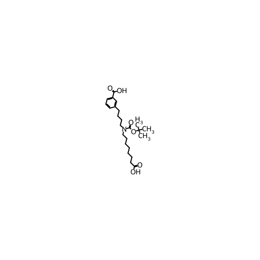 CC(C)(C)OC(=O)N(CCCCCCCC(=O)O)CCCCc1cccc(C(=O)O)c1